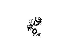 Cc1cc(-c2noc(C(F)(F)F)c2-c2ccc(S(C)(=O)=O)c(F)c2)ccc1Br